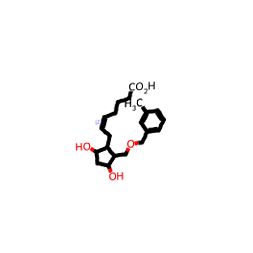 Cc1cccc(COCC2C(O)CC(O)C2C/C=C\CCCC(=O)O)c1